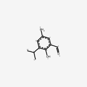 Bc1cc(C=O)c(O)c(C(C)C)c1